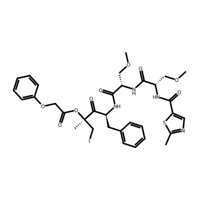 COC[C@H](NC(=O)c1cnc(C)s1)C(=O)N[C@@H](COC)C(=O)N[C@@H](Cc1ccccc1)C(=O)[C@@](C)(CI)OC(=O)COc1ccccc1